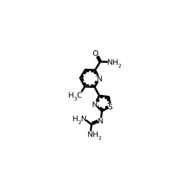 Cc1ccc(C(N)=O)nc1-c1csc(N=C(N)N)n1